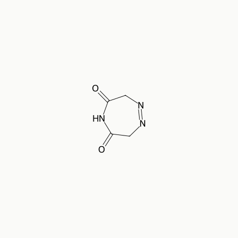 O=C1CN=NCC(=O)N1